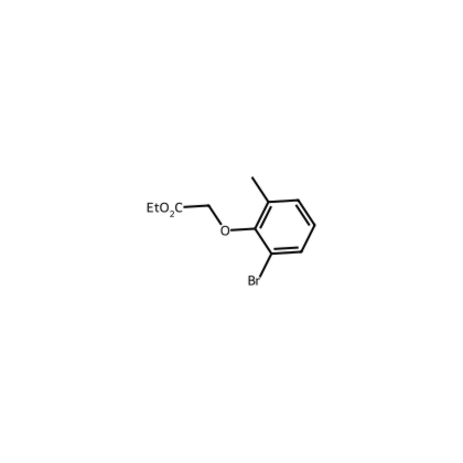 CCOC(=O)COc1c(C)cccc1Br